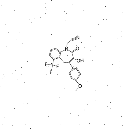 COc1ccc(C2=C(O)C(=O)N(CC#N)c3cccc(C(F)(F)F)c3C2)cc1